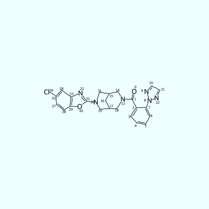 O=C(c1ccccc1-n1nccn1)N1CC2CC(C1)CN(c1nc3cc(Cl)ccc3o1)C2